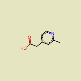 Cc1cc(CC(=O)O)ccn1